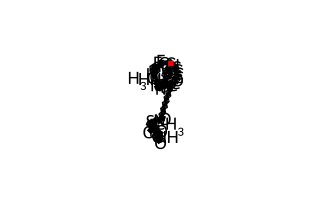 C[C@H]1Nc2ncnc3c2cc(C2CCS(=O)(=O)CC2)c(=O)n3C(CCCCCCCCCCC(=O)N(C)Cc2scc3c2CN(C2CCC(=O)NC2=O)C3=O)CCOCCCCN2CC(C2)CC(F)(F)c2cccc1c2